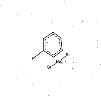 Fc1cc[c]cc1.[Br][Mg][Br]